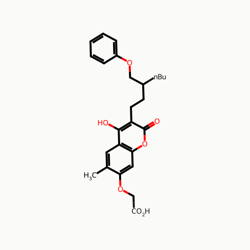 CCCCC(CCc1c(O)c2cc(C)c(OCC(=O)O)cc2oc1=O)COc1ccccc1